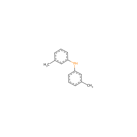 Cc1cccc(Pc2cccc(C)c2)c1